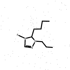 CCCCC1N(F)C=NN1CCC